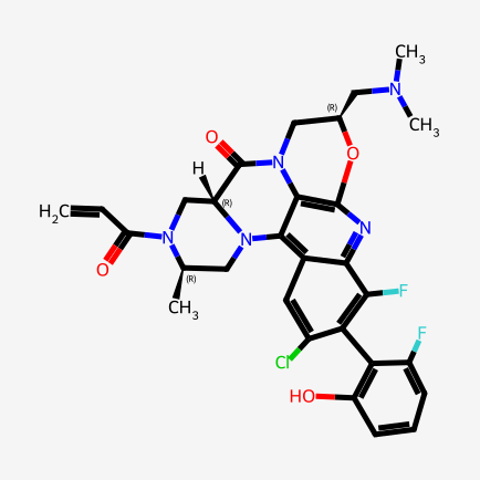 C=CC(=O)N1C[C@@H]2C(=O)N3C[C@@H](CN(C)C)Oc4nc5c(F)c(-c6c(O)cccc6F)c(Cl)cc5c(c43)N2C[C@H]1C